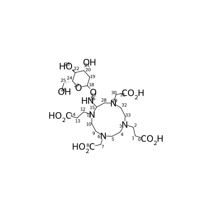 O=C(O)CCN1CCN(CC(=O)O)CCN(CCC(=O)O)C(NOC2C[C@@H](O)[C@H](O)[C@@H](CO)O2)CN(CC(=O)O)CC1